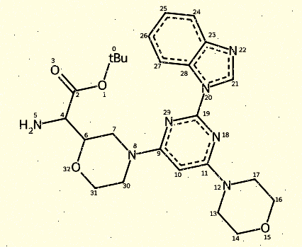 CC(C)(C)OC(=O)C(N)C1CN(c2cc(N3CCOCC3)nc(-n3cnc4ccccc43)n2)CCO1